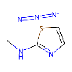 CNc1nccs1.[N-]=[N+]=[N-]